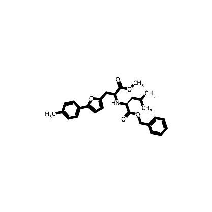 COC(=O)C(Cc1ccc(-c2ccc(C)cc2)o1)N[C@@H](CC(C)C)C(=O)OCc1ccccc1